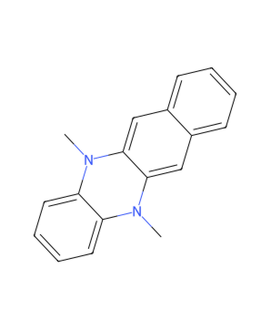 CN1c2ccccc2N(C)c2cc3ccccc3cc21